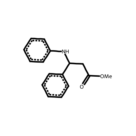 COC(=O)CC(Nc1ccccc1)c1ccccc1